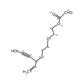 C=CC(C#CO)OCCOCCOC(=O)C=O